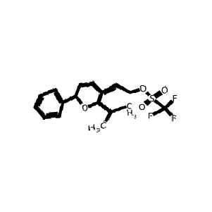 CC(C)C1OC(c2ccccc2)CCC1=CCOS(=O)(=O)C(F)(F)F